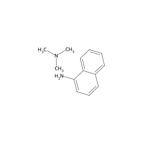 CN(C)C.Nc1cccc2ccccc12